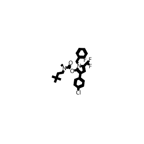 CN(CCC(C)(C)C)C(=O)Oc1c(-c2ccc(Cl)cc2)cc(C(F)(F)F)n1Cc1ccccc1